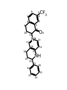 O=C1c2cc(C(F)(F)F)ccc2CCC1[n+]1ccc2c(c1)CCC(c1ccccc1)N2